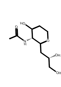 CC(=O)N[C@@H]1C(O)CCOC1C[C@H](O)CO